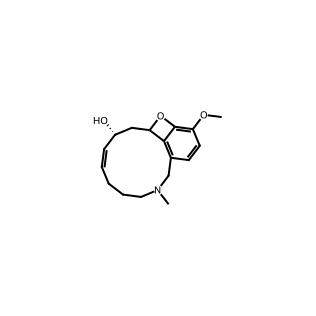 COc1ccc2c3c1OC3C[C@@H](O)/C=C\CCCN(C)C2